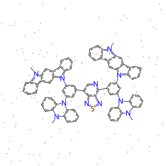 CN1c2ccccc2N(c2cc(-c3cnc(-c4cc(N5c6ccccc6N(C)c6ccccc65)cc(-n5c6ccccc6c6cc7c(cc65)c5ccccc5n7C)c4)c4nsnc34)cc(-n3c4ccccc4c4cc5c(cc43)c3ccccc3n5C)c2)c2ccccc21